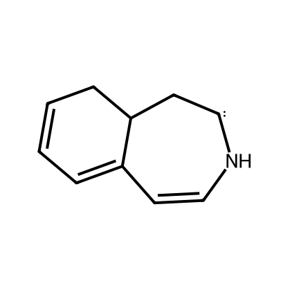 [C]1CC2CC=CC=C2C=CN1